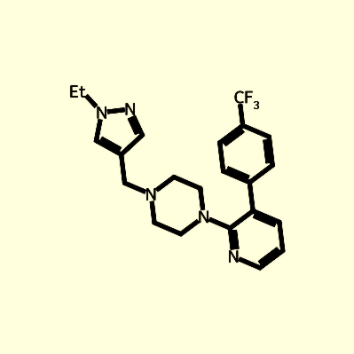 CCn1cc(CN2CCN(c3ncccc3-c3ccc(C(F)(F)F)cc3)CC2)cn1